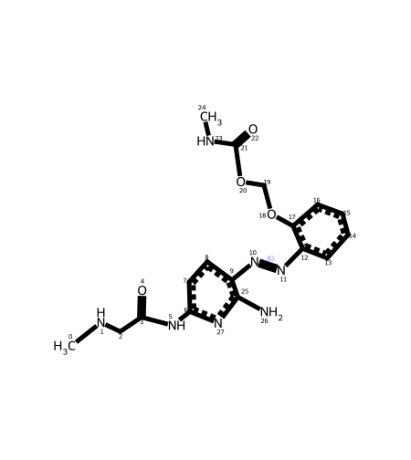 CNCC(=O)Nc1ccc(/N=N/c2ccccc2OCOC(=O)NC)c(N)n1